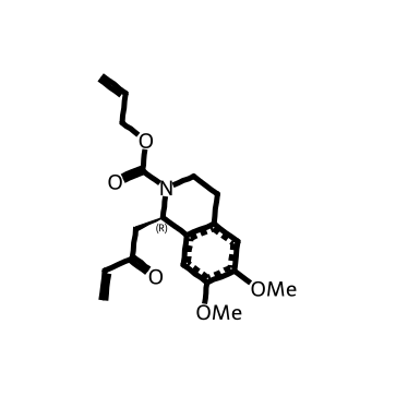 C=CCOC(=O)N1CCc2cc(OC)c(OC)cc2[C@H]1CC(=O)C=C